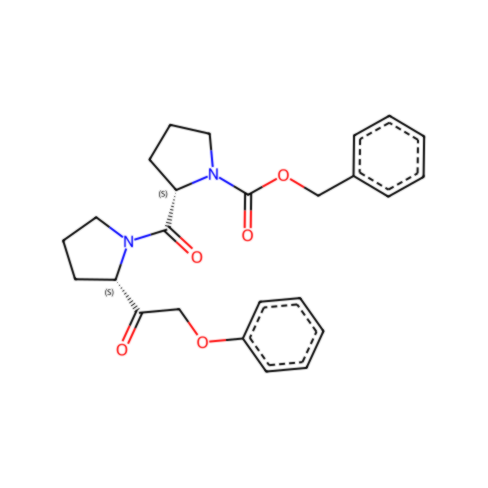 O=C(COc1ccccc1)[C@@H]1CCCN1C(=O)[C@@H]1CCCN1C(=O)OCc1ccccc1